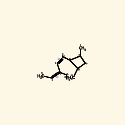 C/C=C(C)\C=N/C1C(C)CC1C